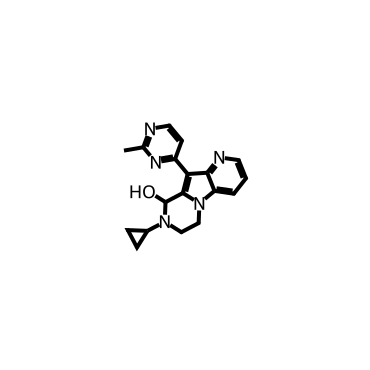 Cc1nccc(-c2c3n(c4cccnc24)CCN(C2CC2)C3O)n1